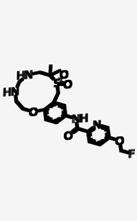 CC1(C)CNCNCCOc2ccc(NC(=O)c3ccc(OCF)cn3)cc2CS1(=O)=O